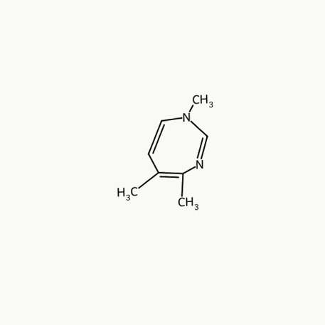 CC1=C(C)N=CN(C)C=C1